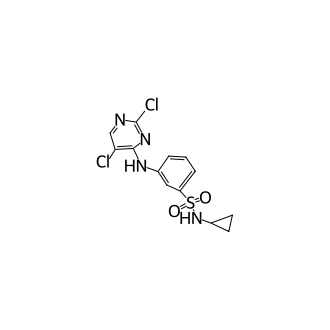 O=S(=O)(NC1CC1)c1cccc(Nc2nc(Cl)ncc2Cl)c1